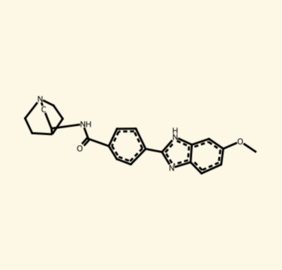 COc1ccc2nc(-c3ccc(C(=O)NC4CN5CCC4CC5)cc3)[nH]c2c1